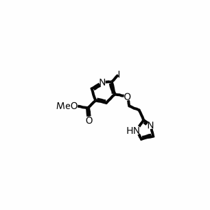 COC(=O)c1cnc(I)c(OCCc2ncc[nH]2)c1